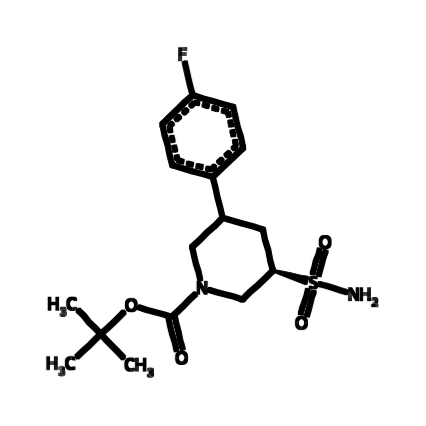 CC(C)(C)OC(=O)N1CC(c2ccc(F)cc2)C[C@@H](S(N)(=O)=O)C1